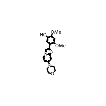 COc1cc(OC)c(-c2cn3ccc(N4CCOCC4)cc3n2)cc1C#N